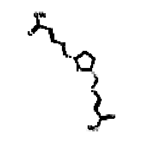 COC(=O)/C=C/OC[C@H]1CC[C@@H](CO/C=C/C(=O)OC)O1